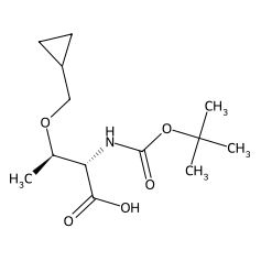 C[C@@H](OCC1CC1)[C@H](NC(=O)OC(C)(C)C)C(=O)O